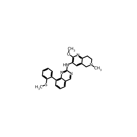 COc1nc2c(cc1Nc1ncc3cccc(-c4ccccc4SC)c3n1)CN(C)CC2